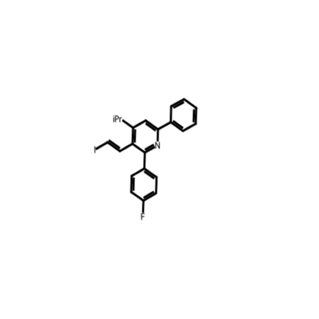 CC(C)c1cc(-c2ccccc2)nc(-c2ccc(F)cc2)c1C=CI